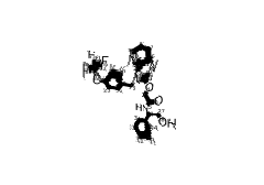 O=C(COc1nc2cccnc2n1Cc1ccc(OC(F)(F)F)cc1)N[C@@H](CO)c1ccccc1